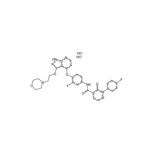 Cl.Cl.O=C(Nc1ccc(Oc2ccnc3[nH]nc(OCCN4CCOCC4)c23)c(F)c1)c1ccnn(-c2ccc(F)cc2)c1=O